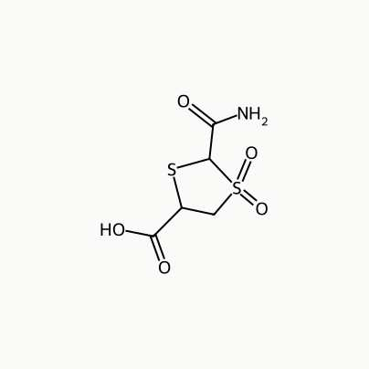 NC(=O)C1SC(C(=O)O)CS1(=O)=O